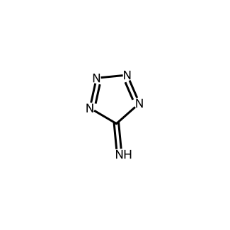 N=C1N=NN=N1